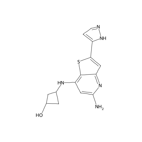 Nc1cc(NC2CC(O)C2)c2sc(-c3ccn[nH]3)cc2n1